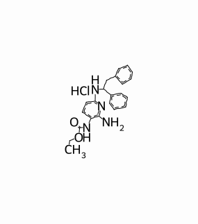 CCOC(=O)Nc1ccc(NC(Cc2ccccc2)c2ccccc2)nc1N.Cl